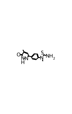 Cc1cc(-c2ccc(N(C)C(N)=S)cc2)n[nH]c1=O